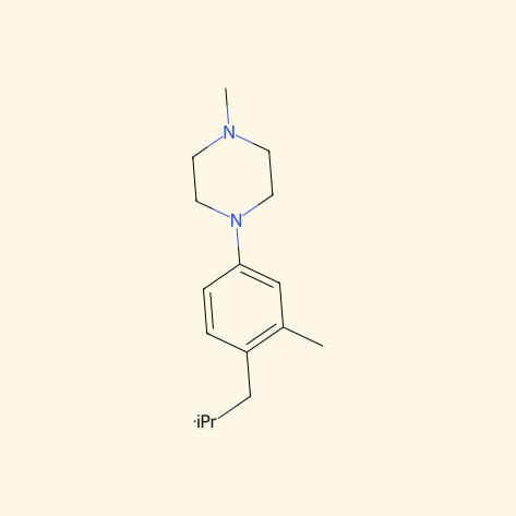 C[C](C)Cc1ccc(N2CCN(C)CC2)cc1C